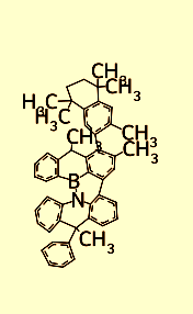 Cc1cc2c(cc1-c1c(C)cc3c4c1C(C)c1ccccc1B4N1c4ccccc4C(C)(c4ccccc4)c4cccc-3c41)C(C)(C)CCC2(C)C